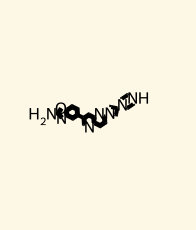 Nc1nc2cc(-c3cnc4ccc(N5CC(N6CCNCC6)C5)nc4c3)ccc2o1